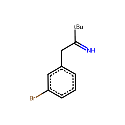 CC(C)(C)C(=N)Cc1cccc(Br)c1